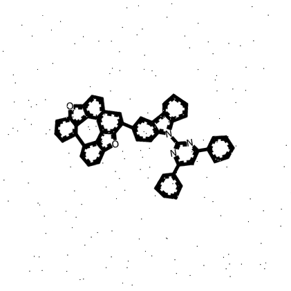 c1ccc(-c2cc(-c3ccccc3)nc(-n3c4ccccc4c4cc(-c5cc6ccc7oc8cccc9c8c7c6c6c5oc5cccc-9c56)ccc43)n2)cc1